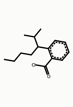 CCCCC(c1ccccc1C(=O)Cl)C(C)C